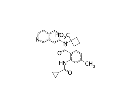 Cc1ccc(C(=O)N(c2ccc3ccncc3c2)C2(C(=O)O)CCC2)c(NC(=O)C2CC2)c1